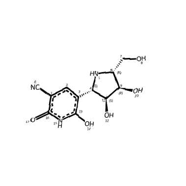 N#Cc1cc([C@@H]2N[C@H](CO)[C@@H](O)[C@H]2O)c(O)[nH]c1=O